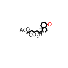 CC(=O)O[C@](C)(CCC[C@@H](C)[C@H]1CCC2C(=O)CCC[C@@]21C)C(=O)O